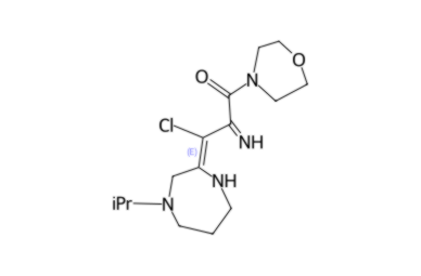 CC(C)N1CCCN/C(=C(/Cl)C(=N)C(=O)N2CCOCC2)C1